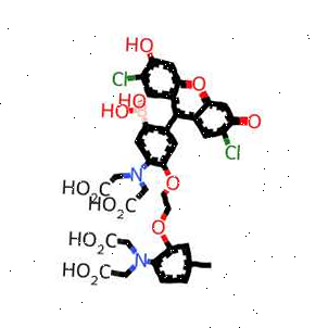 Cc1ccc(N(CC(=O)O)CC(=O)O)c(OCCOc2cc(-c3c4cc(Cl)c(=O)cc-4oc4cc(O)c(Cl)cc34)c(B(O)O)cc2N(CC(=O)O)CC(=O)O)c1